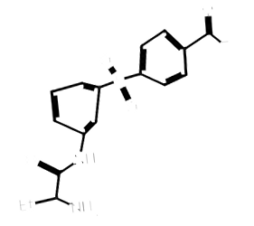 CCC(=O)c1ccc(S(=O)(=O)c2cccc(NC(=O)C(N)CC)c2)cc1